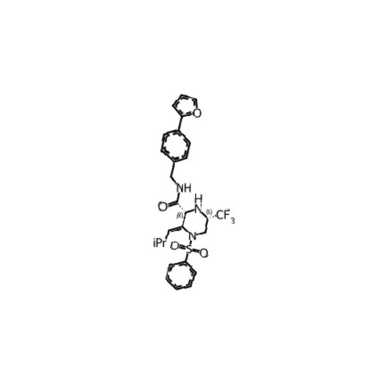 CC(C)C=C1[C@H](C(=O)NCc2ccc(-c3ccco3)cc2)N[C@H](C(F)(F)F)CN1S(=O)(=O)c1ccccc1